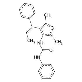 CC=C(c1ccccc1)c1c(C)nn(C)c1NC(=O)Nc1ccccc1